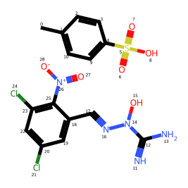 Cc1ccc(S(=O)(=O)O)cc1.N=C(N)N(O)N=Cc1cc(Cl)cc(Cl)c1[N+](=O)[O-]